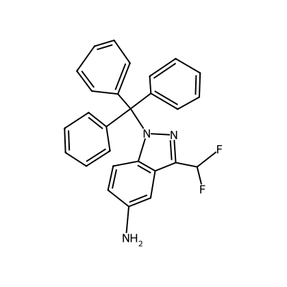 Nc1ccc2c(c1)c(C(F)F)nn2C(c1ccccc1)(c1ccccc1)c1ccccc1